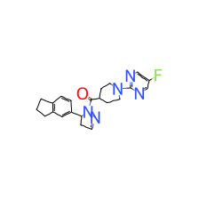 O=C(C1CCN(c2ncc(F)cn2)CC1)N1N=CCC1c1ccc2c(c1)CCC2